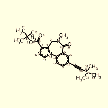 CN1Cc2c(C(=O)OC(C)(C)C)ncn2-c2ccc(C#CS(C)(C)C)cc2C1=O